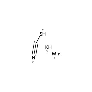 N#CS.[KH].[Mn]